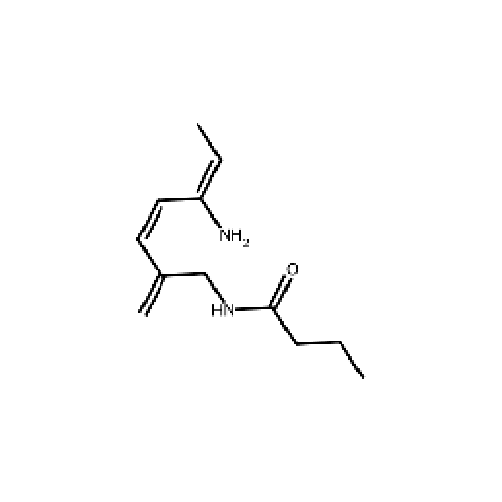 C=C(/C=C\C(N)=C/C)CNC(=O)CCC